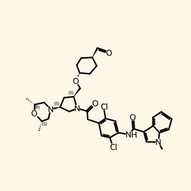 C[C@@H]1CN([C@H]2C[C@@H](CO[C@H]3CC[C@H](C=O)CC3)N(C(=O)Cc3cc(Cl)c(NC(=O)c4cn(C)c5ccccc45)cc3Cl)C2)C[C@H](C)O1